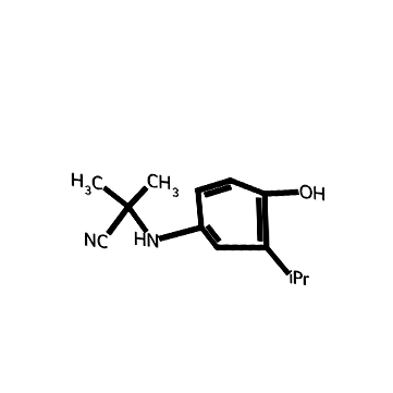 CC(C)c1cc(NC(C)(C)C#N)ccc1O